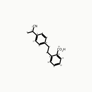 CC(C#N)c1ccc(CCc2ccccc2C(=O)O)cc1